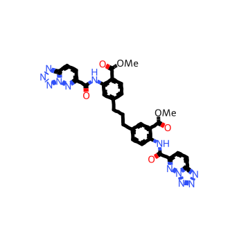 COC(=O)c1ccc(CCCc2ccc(NC(=O)c3ccc4nnnn4n3)c(C(=O)OC)c2)cc1NC(=O)c1ccc2nnnn2n1